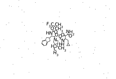 CC1(C)[C@@H]2[C@@H](C(=O)NC(CC3CC3)C(=O)C(N)=O)N(C(=O)[C@@H](NC(=O)OC(C)(C)C(F)(F)F)C3Cc4ccccc4C3)C[C@@H]21